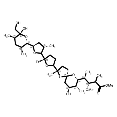 CC[C@@]1(C2O[C@@H]([C@H]3O[C@@](O)(CO)[C@H](C)C[C@@H]3C)C[C@@H]2C)CCC([C@]2(C)CC[C@]3(C[C@H](O)[C@@H](C)[C@@H]([C@@H](C)[C@@H](OC)C(C)C(=O)OC)O3)O2)O1